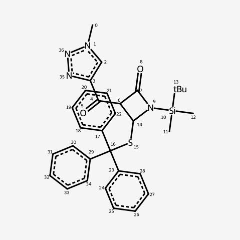 Cn1cc(C(=O)C2C(=O)N([Si](C)(C)C(C)(C)C)C2SC(c2ccccc2)(c2ccccc2)c2ccccc2)nn1